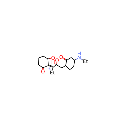 CCNC1CCC(CC(=O)/C(CC)=C2/C(=O)CCCC2O)C(=O)C1